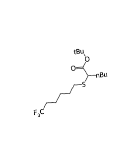 CCCCC(SCCCCCC(F)(F)F)C(=O)OC(C)(C)C